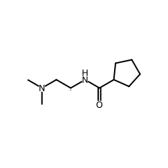 CN(C)C[CH]NC(=O)C1CCCC1